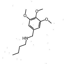 CCCCNCc1cc(OC)c(OC)c(OC)c1